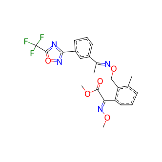 CO/N=C(/C(=O)OC)c1cccc(C)c1CO/N=C(\C)c1cccc(-c2noc(C(F)(F)F)n2)c1